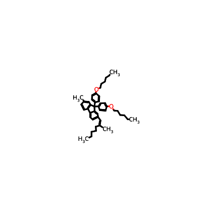 CCCCCCOc1ccc(C2(c3ccc(OCCCCCC)cc3)c3cc(C)ccc3-c3ccc(C=C(C)CCCCC)cc32)cc1